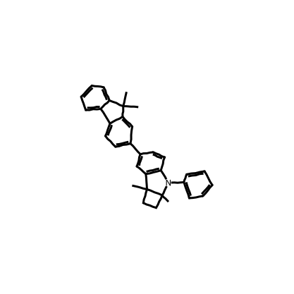 CC1(C)c2ccccc2-c2ccc(-c3ccc4c(c3)C3(C)CCC3(C)N4c3ccccc3)cc21